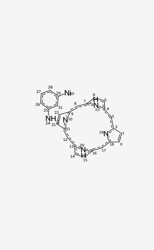 C1=Cc2cc3ccc(cc4nc(cc5ccc(cc1n2)[nH]5)C=C4)[nH]3.Nc1ccc[c]([Ni])c1